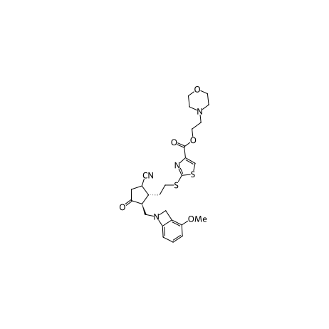 COc1cccc2c1CN2C[C@H]1C(=O)CC(C#N)[C@@H]1CCSc1nc(C(=O)OCCN2CCOCC2)cs1